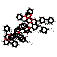 Cc1ccc(C)c(N(c2cc3oc4cc(N(c5cc(C)ccc5C)c5cccc6c5oc5ccccc56)c5ccc(-c6cccc(-c7ccccc7N(c7cc8oc9cc(N(c%10ccccc%10-c%10ccccc%10)c%10cccc%11c%10oc%10ccccc%10%11)c%10ccccc%10c9c8c8ccccc78)c7cccc8c7oc7ccccc78)c6)cc5c4c3c3ccccc23)c2cccc3c2oc2ccccc23)c1